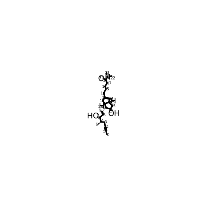 CC#CC[C@@H](C)[C@H](O)/C=C/[C@@H]1[C@H]2CC(CCCCC(=O)N(C)C)=C[C@H]2C[C@H]1O